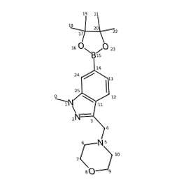 Cn1nc(CN2CCOCC2)c2ccc(B3OC(C)(C)C(C)(C)O3)cc21